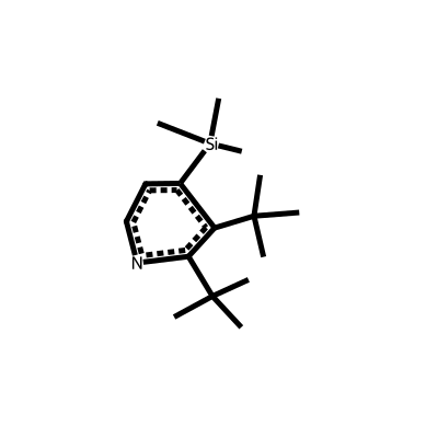 CC(C)(C)c1nccc([Si](C)(C)C)c1C(C)(C)C